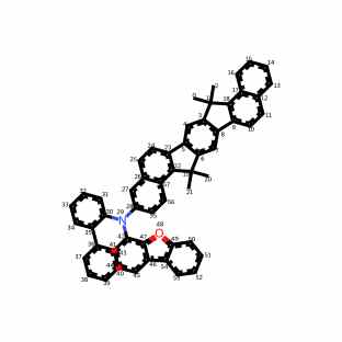 CC1(C)c2cc3c(cc2-c2ccc4ccccc4c21)C(C)(C)c1c-3ccc2cc(N(c3ccccc3-c3ccccc3)c3cccc4c3oc3ccccc34)ccc12